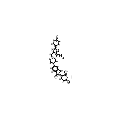 Cc1oc(C2CCC(Cl)CC2)nc1CN1CCC(c2ccc3c(c2)CN(C2CCC(=O)NC2=O)C3=O)CC1